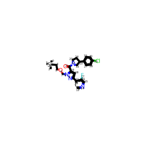 C[Si](C)(C)CCOCn1nc(-c2ccncc2F)cc1C(=O)N1CCC(c2ccc(Cl)cc2)C1